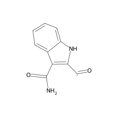 NC(=O)c1c([C]=O)[nH]c2ccccc12